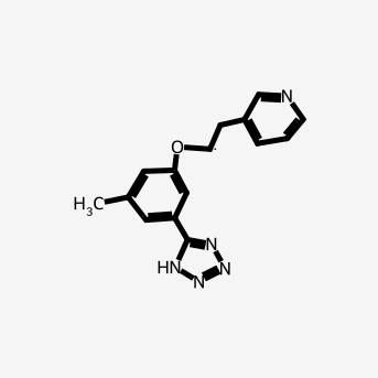 Cc1cc(O[CH]Cc2cccnc2)cc(-c2nnn[nH]2)c1